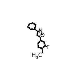 CCc1ccc(-c2cc(-c3ccccc3)no2)cc1F